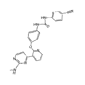 CNc1nccc(-c2cccnc2Oc2ccc(NC(=O)Nc3ccc(C#N)cc3)cc2)n1